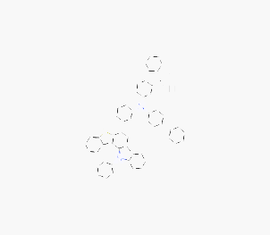 CC1(C)c2ccccc2-c2ccc(N(c3ccc(-c4ccccc4)cc3)c3cccc(-c4cc5c6ccccc6n(-c6ccccc6)c5c5c4sc4ccccc45)c3)cc21